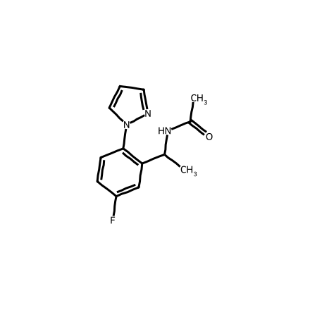 CC(=O)NC(C)c1cc(F)ccc1-n1cccn1